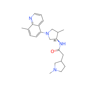 Cc1ccc(N2CC(C)[C@@H](NC(=O)CC3CCN(C)C3)C2)c2cccnc12